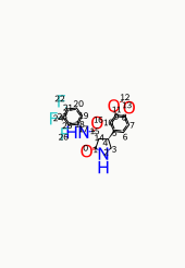 O=C1NC[C@H](c2ccc3c(c2)OCO3)[C@H]1C(=O)Nc1ccc(F)c(F)c1F